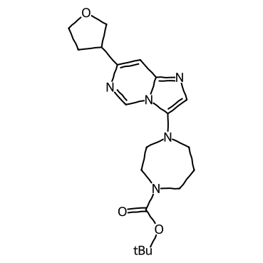 CC(C)(C)OC(=O)N1CCCN(c2cnc3cc(C4CCOC4)ncn23)CC1